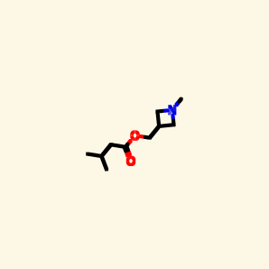 CC(C)CC(=O)OCC1CN(C)C1